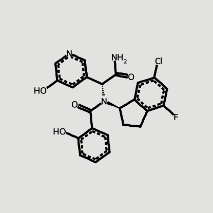 NC(=O)[C@@H](c1cncc(O)c1)N(C(=O)c1ccccc1O)[C@@H]1CCc2c(F)cc(Cl)cc21